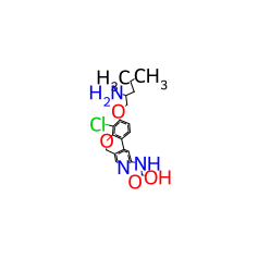 CC(C)CC(N)COc1ccc2c(c1Cl)OCc1cnc(NC(=O)O)cc1-2